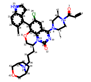 C=CC(=O)N1C[C@H](C)N(c2nc(=O)n3c4c(c(-c5c(C)ccc6[nH]ccc56)c(Cl)cc24)OC[C@@H]3CCCN2C3CCC2COC3)C[C@H]1C